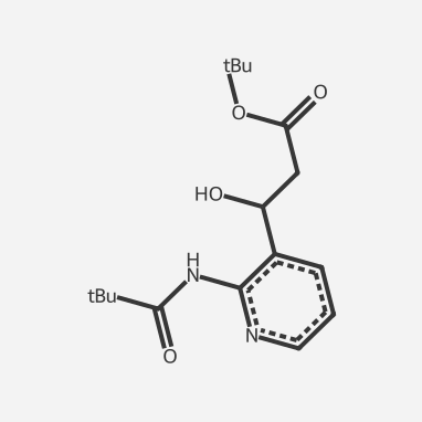 CC(C)(C)OC(=O)CC(O)c1cccnc1NC(=O)C(C)(C)C